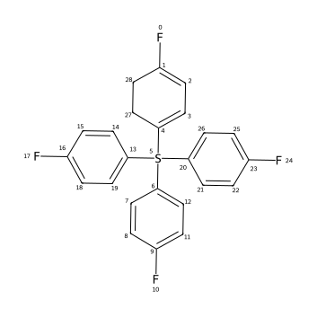 FC1=CC=C(S(c2ccc(F)cc2)(c2ccc(F)cc2)c2ccc(F)cc2)CC1